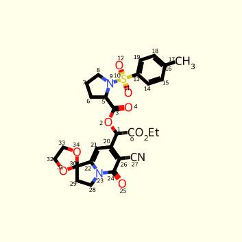 CCOC(=O)C(OC(=O)C1CCCN1S(=O)(=O)c1ccc(C)cc1)c1cc2n(c(=O)c1C#N)CCC21OCCO1